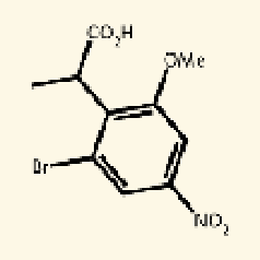 COc1cc([N+](=O)[O-])cc(Br)c1C(C)C(=O)O